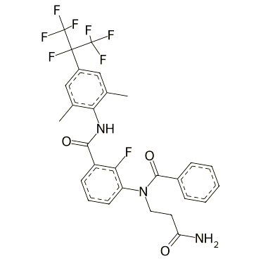 Cc1cc(C(F)(C(F)(F)F)C(F)(F)F)cc(C)c1NC(=O)c1cccc(N(CCC(N)=O)C(=O)c2ccccc2)c1F